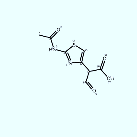 CC(=O)Nc1nc(C(C=O)C(=O)O)cs1